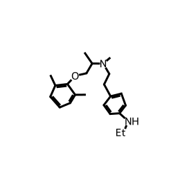 CCNc1ccc(CCN(C)C(C)COc2c(C)cccc2C)cc1